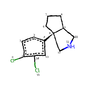 Clc1ccc([C@@]23CCCC2CNC3)cc1Cl